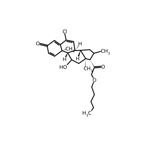 CCCCCOCC(=O)[C@H]1C(C)C[C@H]2[C@@H]3C=C(Cl)C4=CC(=O)C=C[C@]4(C)[C@H]3C(O)C[C@]12C